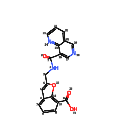 O=C(NCc1cc2cccc(C(=O)O)c2o1)c1cncc2cccnc12